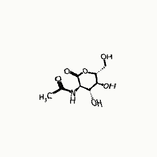 CC(=O)N[C@H]1C(=O)O[C@H](CO)[C@@H](O)[C@@H]1O